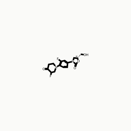 O=C1CCN(c2ccc(N3C[C@H](CO)OC3=O)cc2F)CC1F